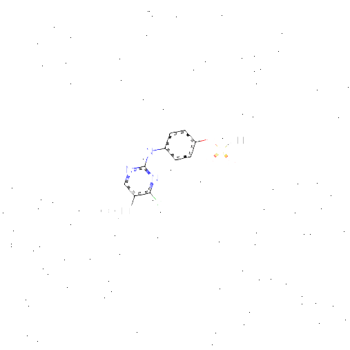 CCOC(=O)c1cnc(Nc2ccc(OS(C)(=O)=O)cc2)nc1Cl